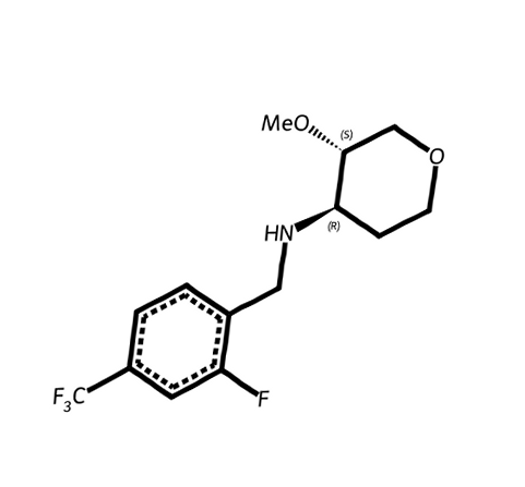 CO[C@@H]1COCC[C@H]1NCc1ccc(C(F)(F)F)cc1F